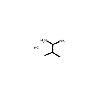 CC(C)C(N)N.Cl